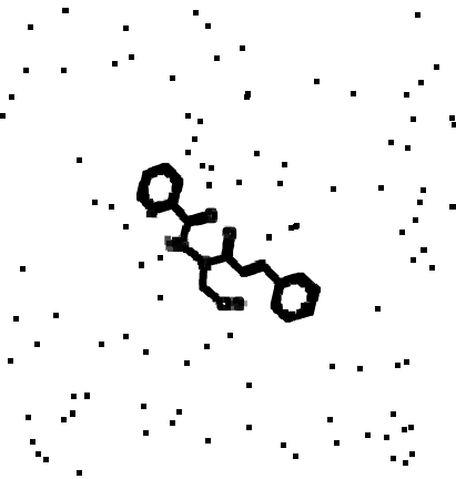 O=[C]CN(NC(=O)c1ccccn1)C(=O)C=Cc1ccccc1